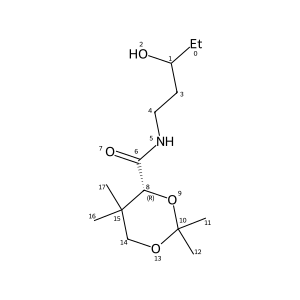 CCC(O)CCNC(=O)[C@@H]1OC(C)(C)OCC1(C)C